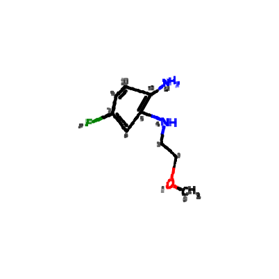 COCCNc1cc(F)ccc1N